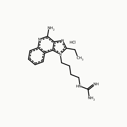 CCc1nc2c(N)nc3ccccc3c2n1CCCCNC(=N)N.Cl